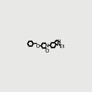 CCn1ncc2cc(-n3ccc(OCc4ccccc4)cc3=O)ccc21